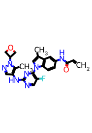 C=CC(=O)Nc1ccc2c(c1)c(C)cn2-c1nc(Nc2cnn(C3COC3)c2C)ncc1F